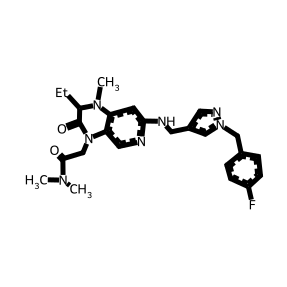 CCC1C(=O)N(CC(=O)N(C)C)c2cnc(NCc3cnn(Cc4ccc(F)cc4)c3)cc2N1C